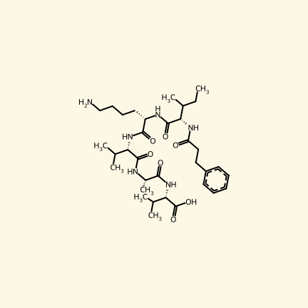 CCC(C)[C@H](NC(=O)CCc1ccccc1)C(=O)N[C@@H](CCCCN)C(=O)N[C@H](C(=O)N[C@@H](C)C(=O)N[C@H](C(=O)O)C(C)C)C(C)C